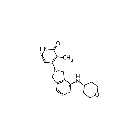 Cc1c(N2Cc3cccc(NC4CCOCC4)c3C2)cn[nH]c1=O